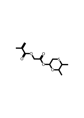 C=C(C)C(=O)OCC(=O)OC1CSC(C)C(C)O1